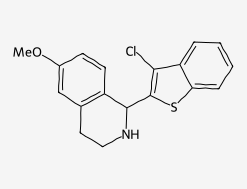 COc1ccc2c(c1)CCNC2c1sc2ccccc2c1Cl